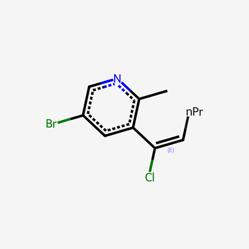 CCC/C=C(/Cl)c1cc(Br)cnc1C